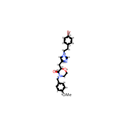 COc1ccc(CN2CCOC(Cc3cn(CCc4ccc(Br)cc4)cn3)C2=O)cc1